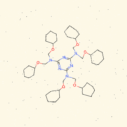 C1CCC(OCN(COC2CCCCC2)c2nc(N(COC3CCCCC3)COC3CCCCC3)nc(N(COC3CCCCC3)COC3CCCCC3)n2)CC1